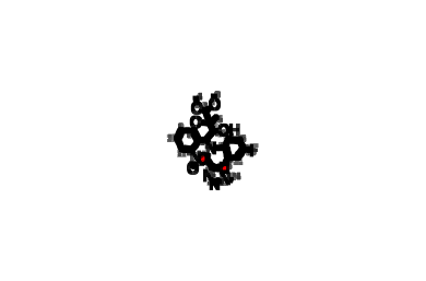 COC(OC)C1(C)Oc2cccc([N+](=O)[O-])c2C(N(Cc2nnn(C)n2)c2ccc(F)cc2C)C1O